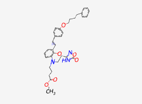 CCOC(=O)CCCN1CC(c2noc(=O)[nH]2)Oc2c(/C=C/c3ccc(OCCCCc4ccccc4)cc3)cccc21